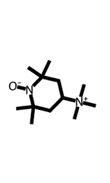 CC1(C)CC([N+](C)(C)C)CC(C)(C)N1[O-]